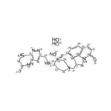 Cl.Cl.O=C1CSc2nnc(CN[C@H]3CCN(CC4Cn5c(=O)ccc6ccc(F)c4c65)C[C@H]3O)cc2N1